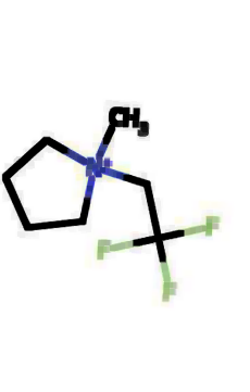 C[N+]1(CC(F)(F)F)CCCC1